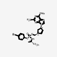 COc1nc(N)nc2c1ncn2[C@H]1C=C[C@@H](COP(=O)(N[C@@H](C)C(=O)O)Oc2ccc(Br)cc2)C1